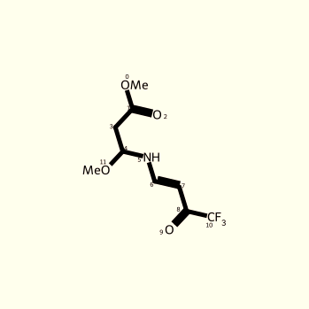 COC(=O)CC(NC=CC(=O)C(F)(F)F)OC